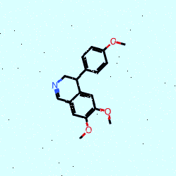 COc1ccc(C2CN=Cc3cc(OC)c(OC)cc32)cc1